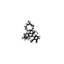 C=C(C(=O)N(C(/C=N\C)=C/C)/C1=C(\C)C/N=C\C(F)=C/COC1)c1cccc(F)c1C#N